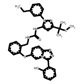 CCc1cccc(-n2nc(C(C)(C)SC)cc2NC(=O)NCc2ccccc2Sc2ccc3nnc(-c4ccccc4O)n3c2)c1